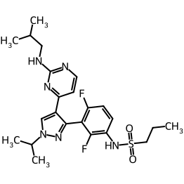 CCCS(=O)(=O)Nc1ccc(F)c(-c2nn(C(C)C)cc2-c2ccnc(NCC(C)C)n2)c1F